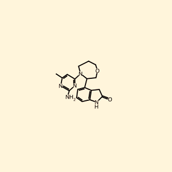 Cc1cc(N2CCCOCC2c2cccc3c2CC(=O)N3)nc(N)n1